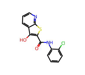 O=C(Nc1ccccc1Cl)c1sc2ncccc2c1O